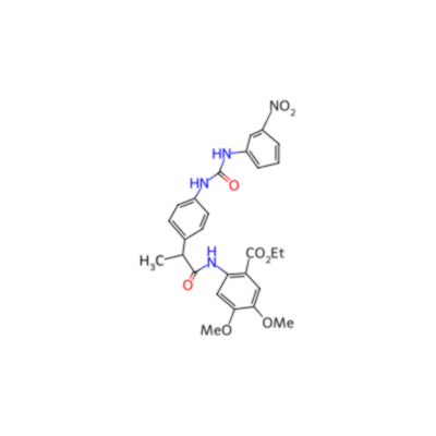 CCOC(=O)c1cc(OC)c(OC)cc1NC(=O)C(C)c1ccc(NC(=O)Nc2cccc([N+](=O)[O-])c2)cc1